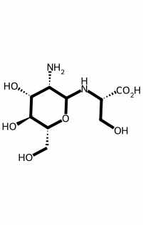 N[C@@H]1C(N[C@@H](CO)C(=O)O)O[C@H](CO)[C@@H](O)[C@@H]1O